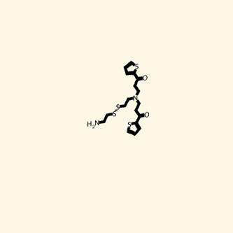 NCCSSCCN(CCC(=O)c1cccs1)CCC(=O)c1cccs1